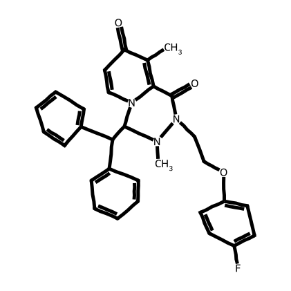 Cc1c2n(ccc1=O)C(C(c1ccccc1)c1ccccc1)N(C)N(CCOc1ccc(F)cc1)C2=O